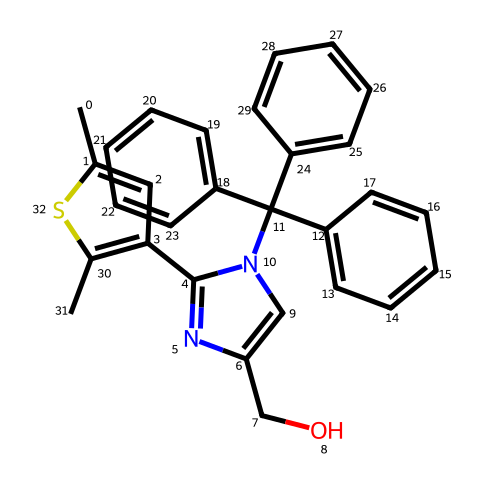 Cc1cc(-c2nc(CO)cn2C(c2ccccc2)(c2ccccc2)c2ccccc2)c(C)s1